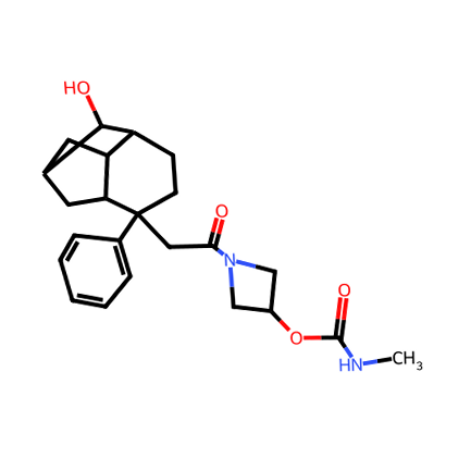 CNC(=O)OC1CN(C(=O)CC2(c3ccccc3)CCC3C(O)C4CC3C2C4)C1